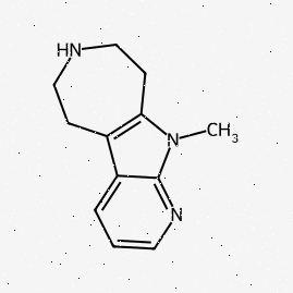 Cn1c2c(c3cccnc31)CCNCC2